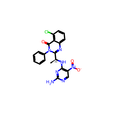 C[C@H](Nc1nc(N)ncc1[N+](=O)[O-])c1nc2cccc(Cl)c2c(=O)n1-c1ccccc1